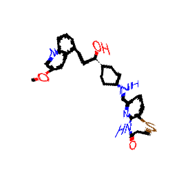 COc1cnc2cccc(CC(O)[C@H]3CC[C@H](NCc4ccc5c(n4)NC(=O)CS5)CC3)c2c1